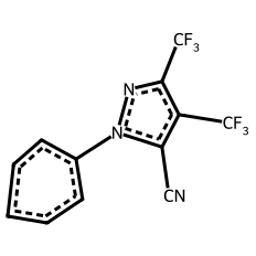 N#Cc1c(C(F)(F)F)c(C(F)(F)F)nn1-c1ccccc1